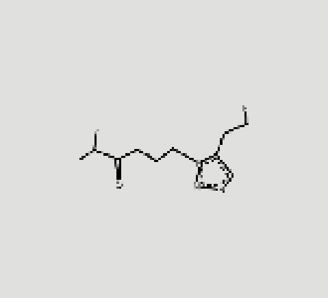 CC(C)C(=O)CCCn1nncc1CCF